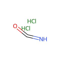 Cl.Cl.N=C=O